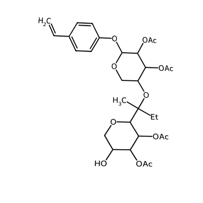 C=Cc1ccc(OC2OCC(OC(C)(CC)C3OCC(O)C(OC(C)=O)C3OC(C)=O)C(OC(C)=O)C2OC(C)=O)cc1